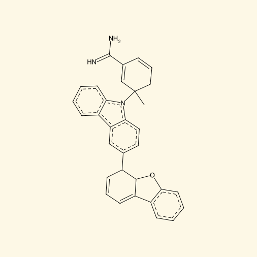 CC1(n2c3ccccc3c3cc(C4C=CC=C5c6ccccc6OC54)ccc32)C=C(C(=N)N)C=CC1